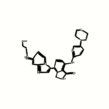 COCCNc1ccn2c(-c3ccc(Nc4ccc(N5CCOCC5)cn4)c4c3CNC4=O)cnc2c1